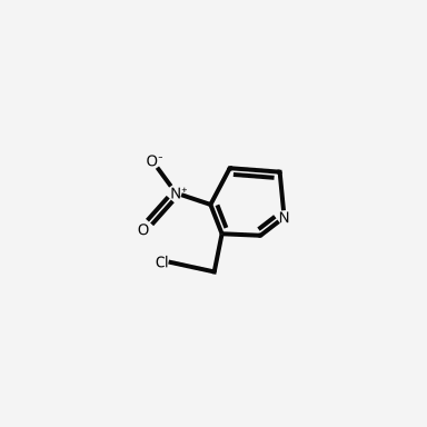 O=[N+]([O-])c1ccncc1CCl